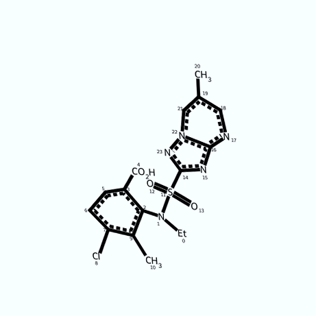 CCN(c1c(C(=O)O)ccc(Cl)c1C)S(=O)(=O)c1nc2ncc(C)cn2n1